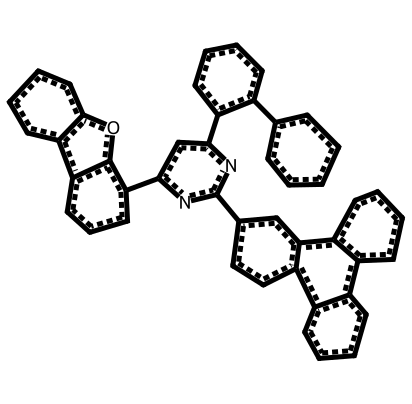 c1ccc(-c2ccccc2-c2cc(-c3cccc4c3oc3ccccc34)nc(-c3ccc4c5ccccc5c5ccccc5c4c3)n2)cc1